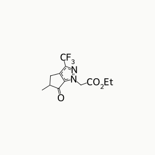 CCOC(=O)Cn1nc(C(F)(F)F)c2c1C(=O)C(C)C2